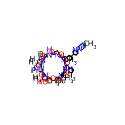 CCC(C)C1NC(=O)C2CCCN2C(=O)C(Cc2cccc(-c3ccc(N4CCN(C)CC4)nc3)c2)N(C)C(=O)C(Cc2ccccc2)NC(=O)[C@H](C)N(C)C(=O)[C@@H](C(C)CC)OC(=O)C(C(C)(C)O)N(C)C(=O)C(CC(C)C)NC(=O)[C@H](C)N(C)C1=O